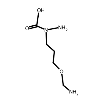 NCOCCCN(N)C(=O)O